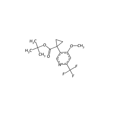 COc1cc(C(F)(F)F)ncc1C1(C(=O)OC(C)(C)C)CC1